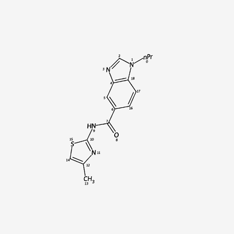 CCCn1cnc2cc(C(=O)Nc3nc(C)cs3)ccc21